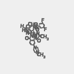 C[C@H](N)C(=O)Nc1cc(N2CCN(C)CC2)ccc1C(=O)Nc1n[nH]c2c1CN(S(=O)(=O)c1cc(F)cc(F)c1)CC2(C)C